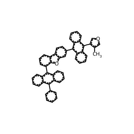 Cc1cocc1-c1c2ccccc2c(-c2ccc3c(c2)oc2c(-c4c5ccccc5c(-c5ccccc5)c5ccccc45)cccc23)c2ccccc12